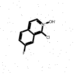 O[n+]1ccc2ccc(F)cc2c1Cl